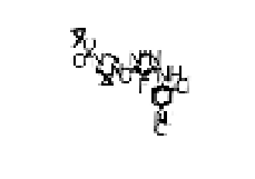 [C-]#[N+]c1ccc(Nc2ncnc(ON3CCN(C(=O)OC4(C)CC4)CC34CC4)c2F)c(Cl)c1